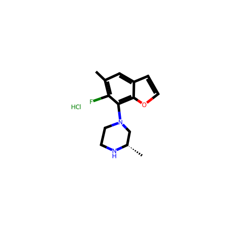 Cc1cc2ccoc2c(N2CCN[C@@H](C)C2)c1F.Cl